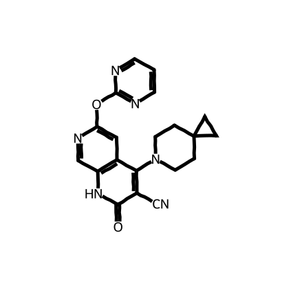 N#Cc1c(N2CCC3(CC2)CC3)c2cc(Oc3ncccn3)ncc2[nH]c1=O